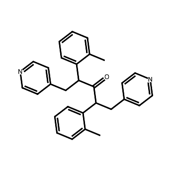 Cc1ccccc1C(Cc1ccncc1)C(=O)C(Cc1ccncc1)c1ccccc1C